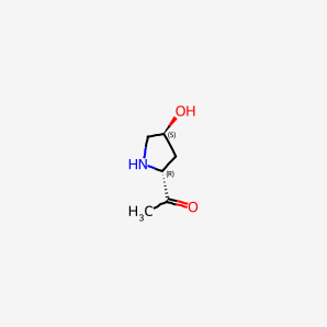 CC(=O)[C@H]1C[C@H](O)CN1